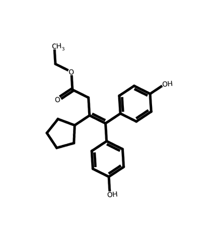 CCOC(=O)CC(=C(c1ccc(O)cc1)c1ccc(O)cc1)C1CCCC1